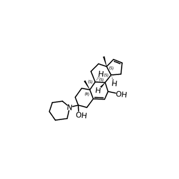 C[C@@]12C=CC[C@H]1[C@@H]1C(O)C=C3CC(O)(N4CCCCC4)CC[C@]3(C)[C@H]1CC2